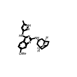 COc1ccc2c(Nc3cc(C)[nH]n3)nc(N[C@@H]3C[C@H]4CC5C[C@@H](C3)N54)nc2c1